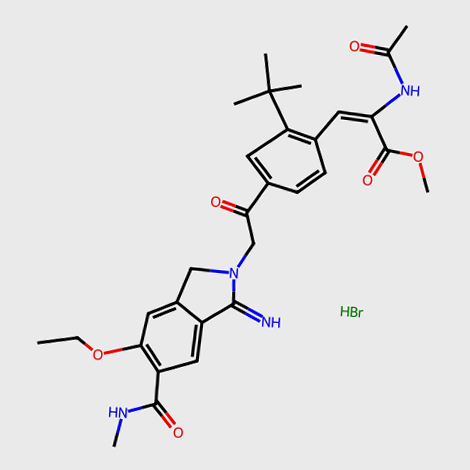 Br.CCOc1cc2c(cc1C(=O)NC)C(=N)N(CC(=O)c1ccc(/C=C(/NC(C)=O)C(=O)OC)c(C(C)(C)C)c1)C2